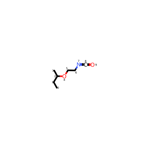 CCC(C)OCCN=C=O